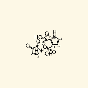 O=C1C=CNC1=O.O=S(=O)(O)c1cc[nH]c1S(=O)(=O)O